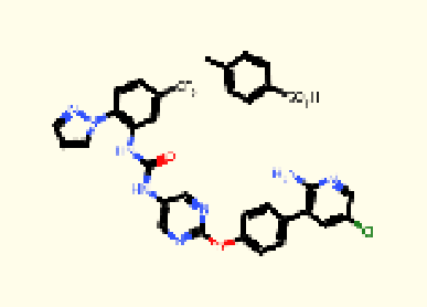 Cc1ccc(S(=O)(=O)O)cc1.Nc1ncc(Cl)cc1-c1ccc(Oc2ncc(NC(=O)Nc3cc(C(F)(F)F)ccc3-n3cccn3)cn2)cc1